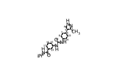 Cc1n[nH]cc1-c1ccc(NC(=O)Nc2cccc(C(=O)NC(C)C)c2)cc1